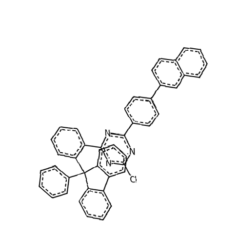 Clc1nc(-c2ccc(-c3ccc4ccccc4c3)cc2)nc(-c2ccccc2C2(c3ccccc3)c3ccccc3-c3ccccc32)n1